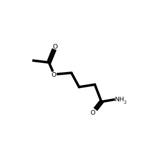 CC(=O)OCCCC(N)=O